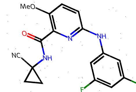 COc1ccc(Nc2cc(F)cc(F)c2)nc1C(=O)NC1(C#N)CC1